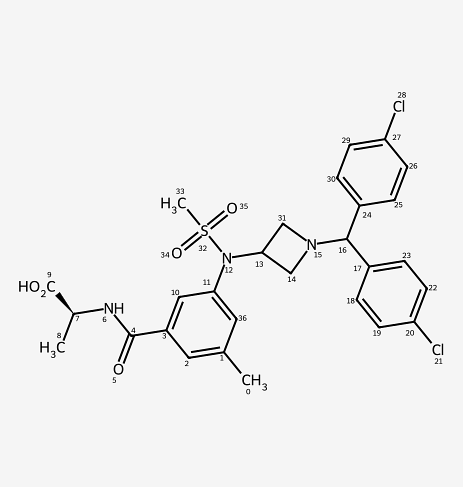 Cc1cc(C(=O)N[C@@H](C)C(=O)O)cc(N(C2CN(C(c3ccc(Cl)cc3)c3ccc(Cl)cc3)C2)S(C)(=O)=O)c1